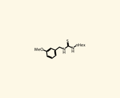 CCCCCCNC(=S)NCc1cccc(OC)c1